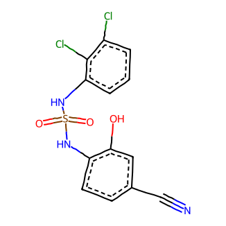 N#Cc1ccc(NS(=O)(=O)Nc2cccc(Cl)c2Cl)c(O)c1